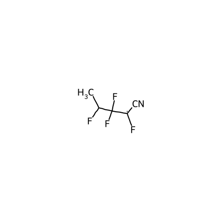 CC(F)C(F)(F)[C](F)C#N